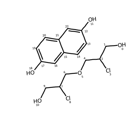 OCC(Cl)COCC(Cl)CO.Oc1ccc2cc(O)ccc2c1